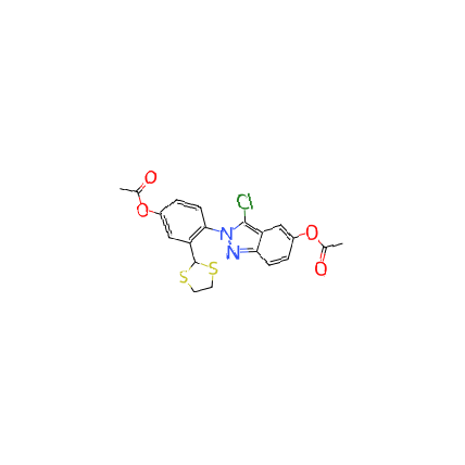 CC(=O)Oc1ccc(-n2nc3ccc(OC(C)=O)cc3c2Cl)c(C2SCCS2)c1